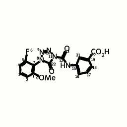 COc1cccc(F)c1-n1nnn(C(=O)Nc2cccc(C(=O)O)c2)c1=O